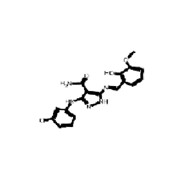 COc1cccc(/C=N/c2[nH]nc(Nc3cccc(Cl)c3)c2C(N)=O)c1O